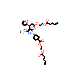 C=CCCC(=O)OCCOC(=O)c1ccc(-n2nc(C(F)(F)F)c3c2O[C@@H](OCCOC(=O)CCC=C)C[C@@H]3c2ccco2)cc1